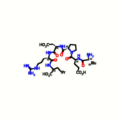 CC[C@H](C)[C@H](N)C(=O)N[C@@H](CCC(=O)O)C(=O)N1CCC[C@H]1C(=O)N[C@@H](CC(=O)O)C(=O)N[C@@H](CCCNC(=N)N)C(=O)N[C@@H](CC(C)C)C(=O)O